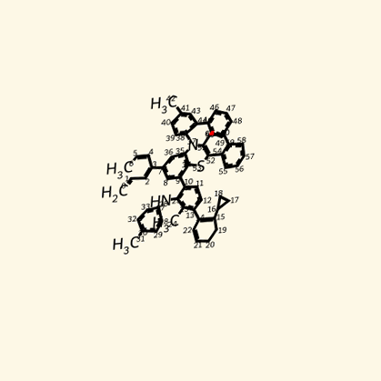 C=C/C=C(\C=C/C)c1cc(-c2ccc(C3=C(C4CC4)CCC=C3)c(C)c2Nc2ccc(C)cc2)c2c(c1)N(c1ccc(C)cc1-c1ccccc1)C1=C(S2)c2ccccc2CC1